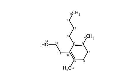 CCCCC1=C(C)CCC(C)=C1CCO